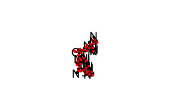 COc1ccc(-c2ccc3c(c2)nc(SCc2cccc(C#N)n2)n3-c2nnnn2C)nc1CSc1nc2ccc(-c3cc(C#N)cc(CSc4nc5ccccc5n4-c4nnnn4C)n3)cc2n1-c1nnnn1C